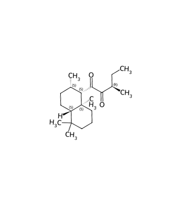 CC[C@@H](C)C(=O)C(=O)[C@H]1[C@@H](C)CC[C@H]2C(C)(C)CCC[C@]12C